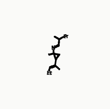 CC/C=C(\C)C1CC1(C)N=CC(C)C(C)C